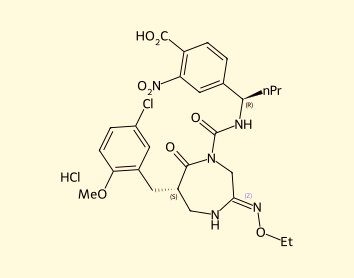 CCC[C@@H](NC(=O)N1C/C(=N/OCC)NC[C@H](Cc2cc(Cl)ccc2OC)C1=O)c1ccc(C(=O)O)c([N+](=O)[O-])c1.Cl